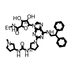 CCNC(=O)C1OC(n2cnc3c(NCC(c4ccccc4)c4ccccc4)nc(N4CC[C@@H](NC(=O)NC5CCN(C)C5)C4)nc32)[C@H](O)[C@@H]1O